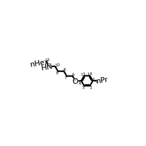 [CH2]CCc1ccc(OCCCCCNCCCCCC)cc1